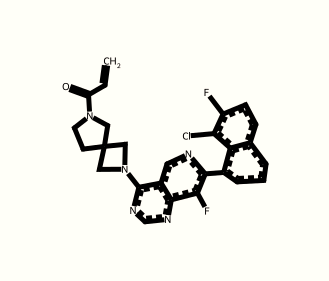 C=CC(=O)N1CCC2(C1)CN(c1ncnc3c(F)c(-c4cccc5ccc(F)c(Cl)c45)ncc13)C2